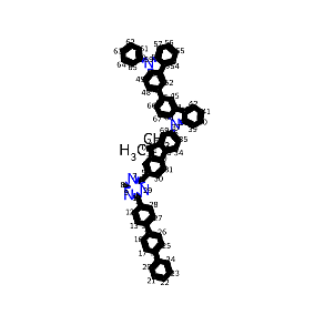 CC1(C)c2cc(-c3ncnc(-c4ccc(-c5ccc(-c6ccccc6)cc5)cc4)n3)ccc2-c2ccc(-n3c4ccccc4c4cc(-c5ccc6c(c5)c5ccccc5n6-c5ccccc5)ccc43)cc21